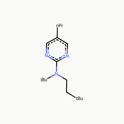 CCCc1cnc(N(CCC(C)(C)C)C(C)CC)nc1